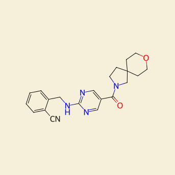 N#Cc1ccccc1CNc1ncc(C(=O)N2CCC3(CCOCC3)C2)cn1